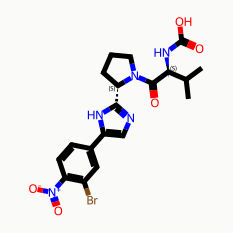 CC(C)[C@H](NC(=O)O)C(=O)N1CCC[C@H]1c1ncc(-c2ccc([N+](=O)[O-])c(Br)c2)[nH]1